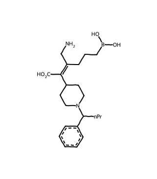 CCCC(c1ccccc1)N1CCC(/C(C(=O)O)=C(/CN)CCCB(O)O)CC1